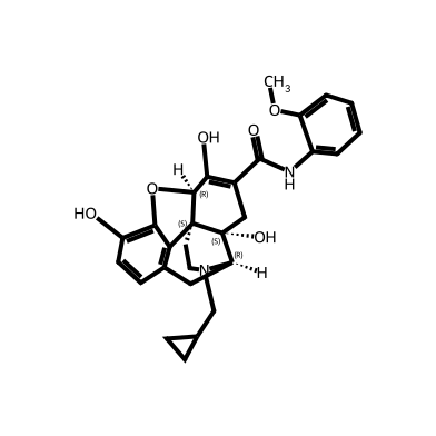 COc1ccccc1NC(=O)C1=C(O)[C@@H]2Oc3c(O)ccc4c3[C@@]23CCN(CC2CC2)[C@H](C4)[C@]3(O)C1